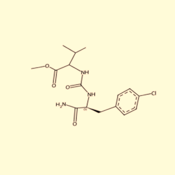 COC(=O)C(NC(=O)N[C@@H](Cc1ccc(Cl)cc1)C(N)=O)C(C)C